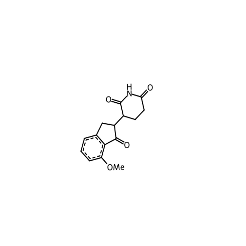 COc1cccc2c1C(=O)C(C1CCC(=O)NC1=O)C2